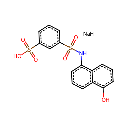 O=S(=O)(O)c1cccc(S(=O)(=O)Nc2cccc3c(O)cccc23)c1.[NaH]